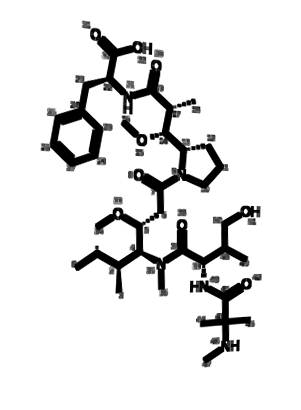 CC[C@H](C)[C@@H]([C@@H](CC(=O)N1CCC[C@H]1[C@H](OC)[C@@H](C)C(=O)N[C@@H](Cc1ccccc1)C(=O)O)OC)N(C)C(=O)[C@@H](NC(=O)C(C)(C)NC)C(C)CO